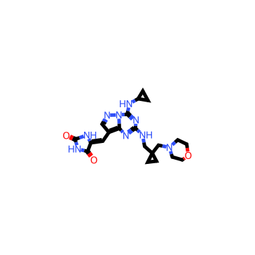 O=C1NC(=O)/C(=C/c2cnn3c(NC4CC4)nc(NCC4(CN5CCOCC5)CC4)nc23)N1